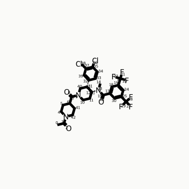 CC(=O)N1CCC(C(=O)N2CC[C@@H](N(C)C(=O)c3cc(C(F)(F)F)cc(C(F)(F)F)c3)[C@@H](c3ccc(Cl)c(Cl)c3)C2)CC1